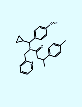 COc1ccc(C(C2CC2)N(Cc2ccccn2)C(=O)CC(C)c2ccc(C)cc2)cc1